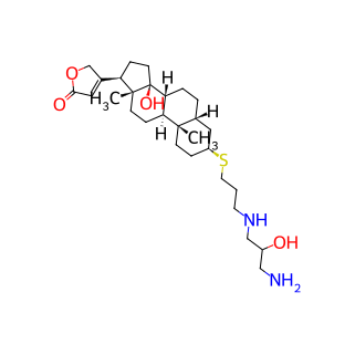 C[C@]12CC[C@H](SCCCNCC(O)CN)C[C@H]1CC[C@@H]1[C@@H]2CC[C@]2(C)[C@@H](C3=CC(=O)OC3)CC[C@]12O